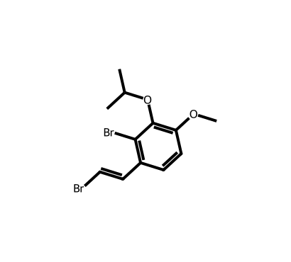 COc1ccc(C=CBr)c(Br)c1OC(C)C